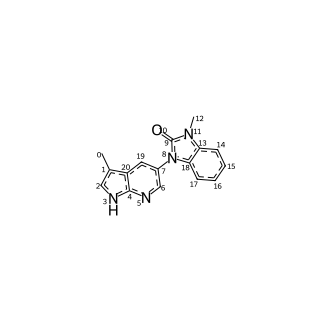 Cc1c[nH]c2ncc(-n3c(=O)n(C)c4ccccc43)cc12